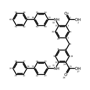 O=C(O)c1cc(Cc2ccc(Nc3ccc(-c4ccccc4)cc3)c(C(=O)O)c2)ccc1Nc1ccc(-c2ccccc2)cc1